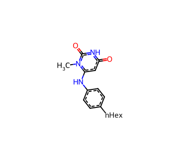 CCCCCCc1ccc(Nc2cc(=O)[nH]c(=O)n2C)cc1